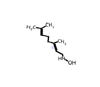 CC(C)=CCC/C(C)=C/CNO